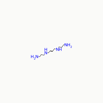 NCCCNCC=CCNCCCN